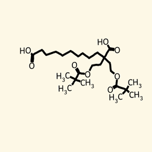 CC(C)(C)C(=O)OCCC(CCCCCCCCCC(=O)O)(CCOC(=O)C(C)(C)C)C(=O)O